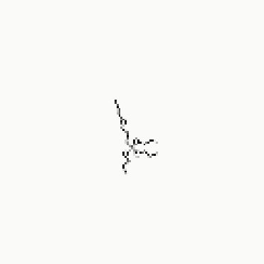 CCCOCCC[Si](OCCC)(OCCC)OCCC